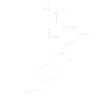 CNC(=O)c1cnc2c(N(C)Cc3ccc(OC)cc3)cc(Cl)nn12